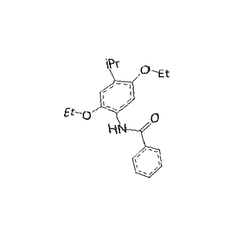 CCOc1cc(C(C)C)c(OCC)cc1NC(=O)c1ccccc1